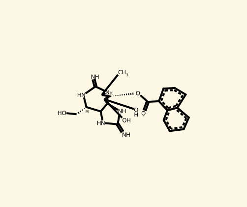 CC1[C@H](OC(=O)c2cccc3ccccc23)C(O)(O)C23NC(=N)NC2[C@H](CO)NC(=N)N13